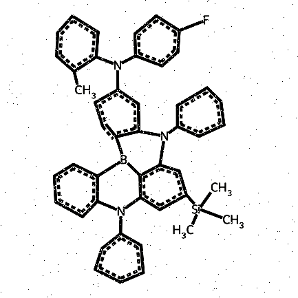 Cc1ccccc1N(c1ccc(F)cc1)c1ccc2c(c1)N(c1ccccc1)c1cc([Si](C)(C)C)cc3c1B2c1ccccc1N3c1ccccc1